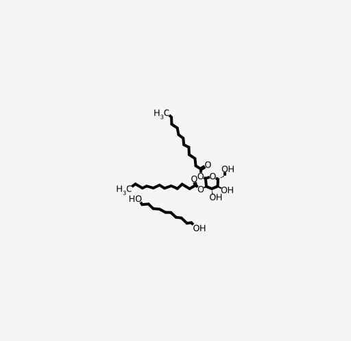 CCCCCCCCCCCC(=O)OC1O[C@H](CO)[C@@H](O)[C@H](O)[C@H]1OC(=O)CCCCCCCCCCC.OCCCCCCCCCCO